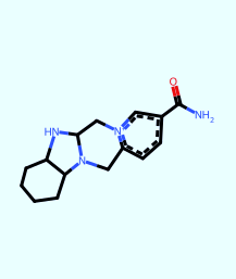 NC(=O)c1ccc2[n+](c1)CC1NC3CCCCC3N1C2